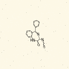 O=C=NC1N=C(c2ccccc2)c2ccccc2NC1=O